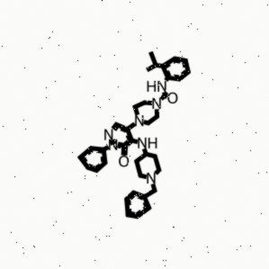 CC(C)c1ccccc1NC(=O)N1CCN(c2cnn(-c3ccccc3)c(=O)c2NC2CCN(Cc3ccccc3)CC2)CC1